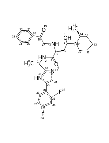 C[C@H](NC(=O)[C@H](CC(O)N1CCCC[C@@H]1C)NCC(=O)c1ccccc1)c1ncc(-c2ccc(F)cc2F)[nH]1